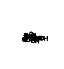 CCCCOc1c(O)nc(Cc2ccccc2-c2ccccc2Cl)nc1C(=O)N(C)CCCC(C)(C)[Si](C)(C)O